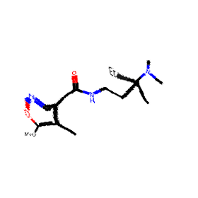 CCC(C)(CCNC(=O)c1noc(OC)c1C)N(C)C